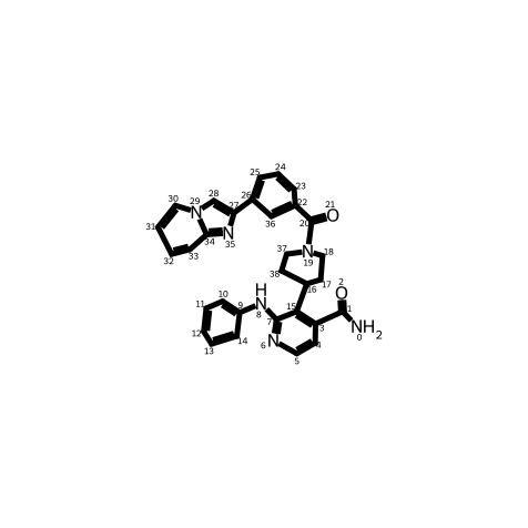 NC(=O)c1ccnc(Nc2ccccc2)c1C1CCN(C(=O)c2cccc(-c3cn4ccccc4n3)c2)CC1